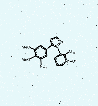 COc1cc(-c2ccnn2-c2ccc[n+]([O-])c2C(F)(F)F)cc([N+](=O)[O-])c1OC